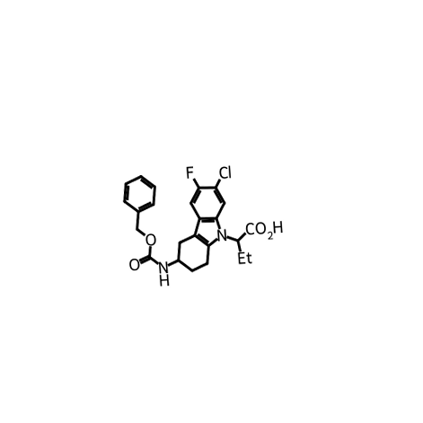 CCC(C(=O)O)n1c2c(c3cc(F)c(Cl)cc31)CC(NC(=O)OCc1ccccc1)CC2